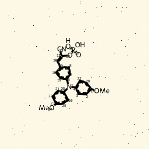 COc1ccc(N(c2ccc(C=C(C#N)OP(=O)(O)O)cc2)c2ccc(OC)cc2)cc1